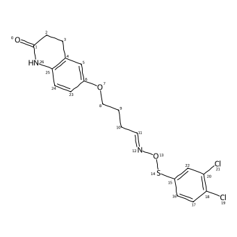 O=C1CCc2cc(OCCCC=NOSc3ccc(Cl)c(Cl)c3)ccc2N1